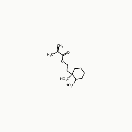 C=C(C)C(=O)OCCC1(C(=O)O)CCCCC1C(=O)O